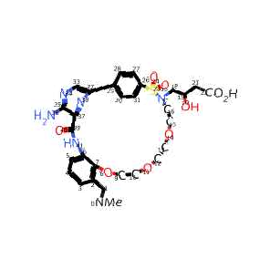 CNCc1cccc2c1OCCOCCOCCN(CC(O)CC(=O)O)S(=O)(=O)c1ccc(cc1)-c1cnc(N)c(n1)C(=O)N2